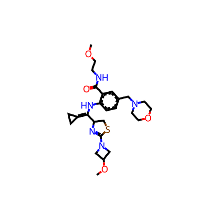 COCCNC(=O)c1cc(CN2CCOCC2)ccc1NC(=C1CC1)C1CSC(N2CC(OC)C2)=N1